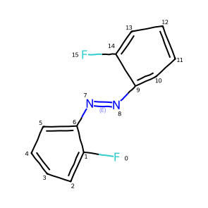 Fc1ccccc1/N=N/c1ccccc1F